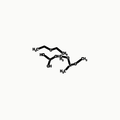 CCOCC.CO[Si](C)OC.OB(O)O